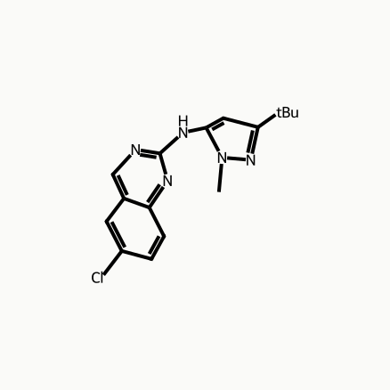 Cn1nc(C(C)(C)C)cc1Nc1ncc2cc(Cl)ccc2n1